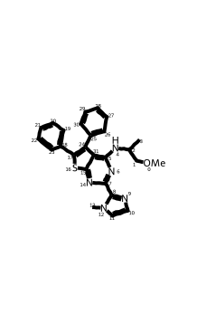 COCC(C)Nc1nc(-c2nccn2C)nc2sc(-c3ccccc3)c(-c3ccccc3)c12